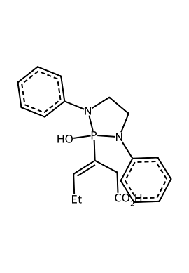 CCC=C(CC(=O)O)[P]1(O)N(c2ccccc2)CCN1c1ccccc1